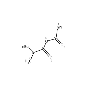 CCCCC(C)C(=O)OC(=O)CCC